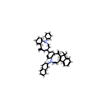 C=C1/C=C(c2ccc3c(c2)C(=C)C2=C(/C=C\N3c3ccc4ccccc4c3)c3ccccc3C2(C)C)\C=C/N(c2ccccc2)c2ccccc21